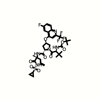 C=CC[C@@](C)(NC(=O)[C@@H]1C[C@@H](Oc2cc(C(F)(F)F)nc3ccc(F)cc23)CN1C(=O)[C@@H](NC(=O)OC(C)(C)C)C(C)(C)C)C(=O)NS(=O)(=O)C1CC1